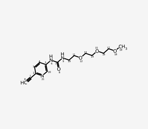 C#Cc1ccc(NC(=O)NCCOCCOCCOC)cn1